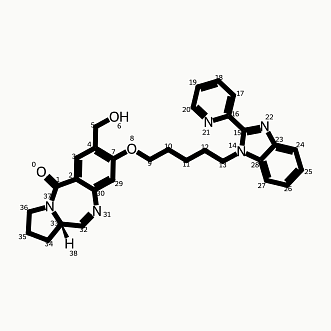 O=C1c2cc(CO)c(OCCCCCn3c(-c4ccccn4)nc4ccccc43)cc2N=C[C@@H]2CCCN12